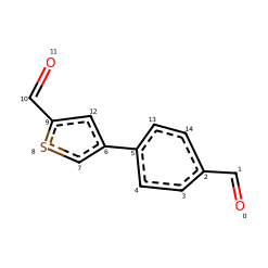 O=Cc1ccc(-c2csc(C=O)c2)cc1